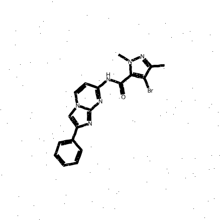 Cc1nn(C)c(C(=O)Nc2ccn3cc(-c4ccccc4)nc3n2)c1Br